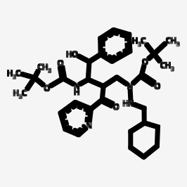 CC(C)(C)OC(=O)NC(C(CN(NCC1CCCCC1)C(=O)OC(C)(C)C)C(=O)c1ccccn1)C(O)c1ccccc1